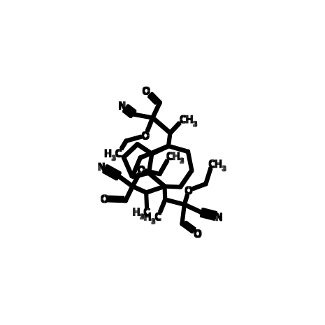 CCOC(C#N)(C=O)C(C)C12CCCC(C(C)C(C#N)(C=O)OCC)(C(C)C(C#N)(C=O)OCC)C3C(CCC31)C2